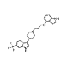 FC(F)(F)c1ccc2c(C3=CCN(CCCOc4cccc5[nH]ccc45)CC3)c[nH]c2c1